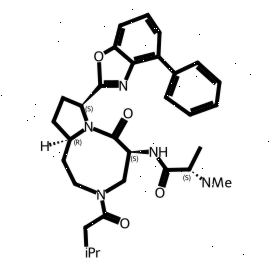 CN[C@@H](C)C(=O)N[C@H]1CN(C(=O)CC(C)C)CC[C@H]2CC[C@@H](c3nc4c(-c5ccccc5)cccc4o3)N2C1=O